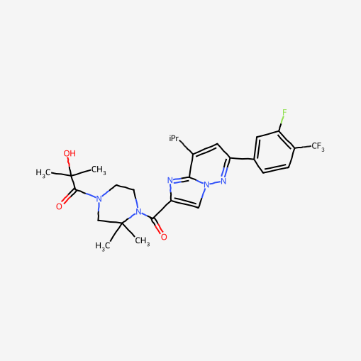 CC(C)c1cc(-c2ccc(C(F)(F)F)c(F)c2)nn2cc(C(=O)N3CCN(C(=O)C(C)(C)O)CC3(C)C)nc12